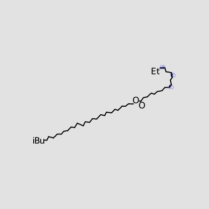 CC/C=C\C/C=C\C/C=C\CCCCCCCC(=O)OCCCCCCCCCCCCCCCCCCCCCCCCCC(C)CC